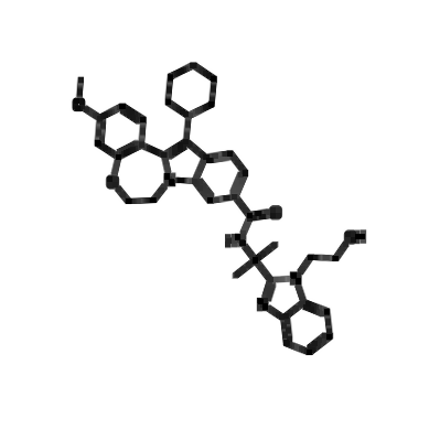 COc1ccc2c(c1)OCCn1c-2c(C2CCCCC2)c2ccc(C(=O)NC(C)(C)c3nc4ccccc4n3CCO)cc21